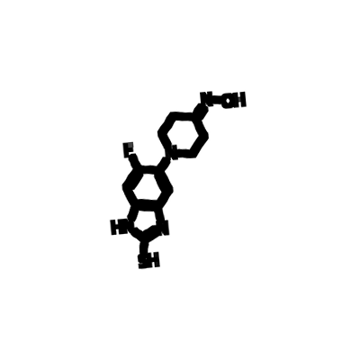 ON=C1CCN(c2cc3nc(S)[nH]c3cc2F)CC1